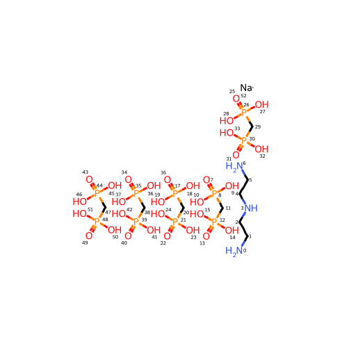 NCCNCCN.O=P(O)(O)CP(=O)(O)O.O=P(O)(O)CP(=O)(O)O.O=P(O)(O)CP(=O)(O)O.O=P(O)(O)CP(=O)(O)O.O=P(O)(O)CP(=O)(O)O.[Na]